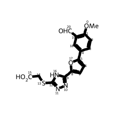 COc1ccc(-c2ccc(-c3nnc(SCC(=O)O)[nH]3)o2)cc1C=O